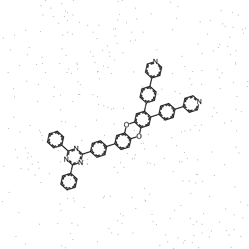 c1ccc(-c2nc(-c3ccccc3)nc(-c3ccc(-c4ccc5c(c4)Oc4cc(-c6ccc(-c7ccncc7)cc6)c(-c6ccc(-c7ccncc7)cc6)cc4O5)cc3)n2)cc1